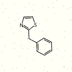 [CH](c1ccccc1)c1nccs1